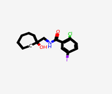 O=C(NCC1(O)CCCCCC1)c1cc(I)ccc1Cl